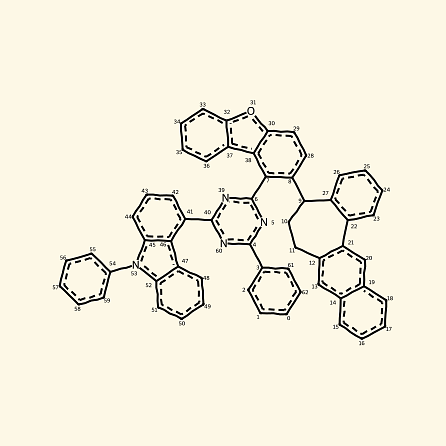 c1ccc(-c2nc(-c3c(C4CCc5cc6ccccc6cc5-c5ccccc54)ccc4oc5ccccc5c34)nc(-c3cccc4c3c3ccccc3n4-c3ccccc3)n2)cc1